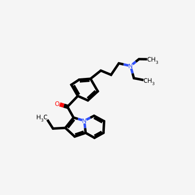 CCc1cc2ccccn2c1C(=O)c1ccc(CCCN(CC)CC)cc1